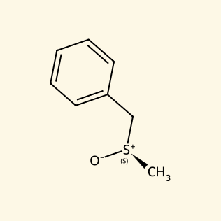 C[S@@+]([O-])Cc1ccccc1